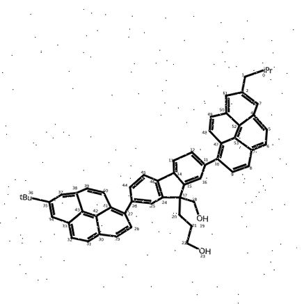 CC(C)Cc1cc2ccc3ccc(-c4ccc5c(c4)C(CO)(CCCO)c4cc(-c6ccc7ccc8cc(C(C)(C)C)cc9ccc6c7c89)ccc4-5)c4ccc(c1)c2c34